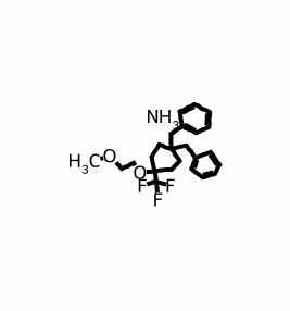 COCCOC1(C(F)(F)F)CCC(Cc2ccccc2)(Cc2ccccc2)CC1.N